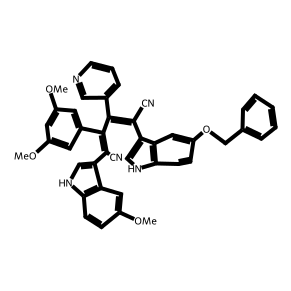 COc1cc(OC)cc(C(/C(=C(/C#N)c2c[nH]c3ccc(OCc4ccccc4)cc23)c2cccnc2)=C(/C#N)c2c[nH]c3ccc(OC)cc23)c1